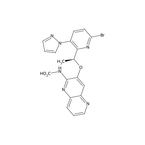 C[C@H](Oc1cc2ncccc2nc1NC(=O)O)c1nc(Br)ccc1-n1cccn1